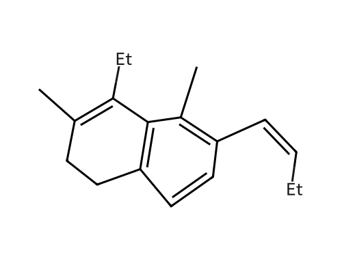 CC/C=C\c1ccc2c(c1C)C(CC)=C(C)CC2